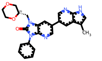 Cc1c[nH]c2ncc(-c3cnc4c(c3)n(C[C@H]3COCCO3)c(=O)n4-c3ccccc3)cc12